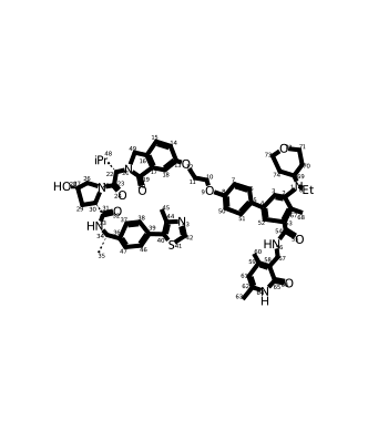 CCN(c1cc(-c2ccc(OCCOc3ccc4c(c3)C(=O)N([C@H](C(=O)N3C[C@H](O)C[C@H]3C(=O)N[C@@H](C)c3ccc(-c5scnc5C)cc3)C(C)C)C4)cc2)cc(C(=O)NCc2c(C)cc(C)[nH]c2=O)c1C)C1CCOCC1